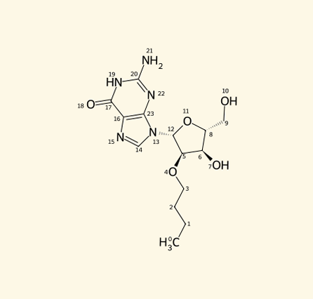 CCCCO[C@@H]1[C@H](O)[C@@H](CO)O[C@H]1n1cnc2c(=O)[nH]c(N)nc21